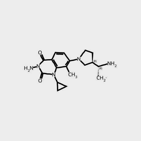 [CH2][C@@H](N)[C@@H]1CCN(c2ccc3c(=O)n(N)c(=O)n(C4CC4)c3c2C)C1